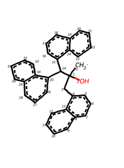 [CH2]C(O)(Cc1cccc2ccccc12)C(c1cccc2ccccc12)c1cccc2ccccc12